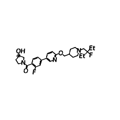 CCC(F)(CC)CN1CCC(COc2ccc(-c3ccc(C(=O)N4CC[C@@H](O)C4)c(F)c3)cn2)CC1